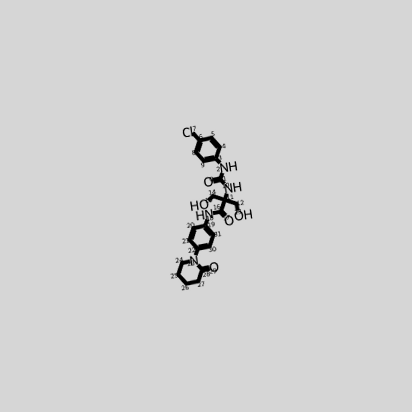 O=C(Nc1ccc(Cl)cc1)NC(CO)(CO)C(=O)Nc1ccc(N2CCCCC2=O)cc1